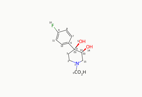 O=C(O)N1CC[C@](O)(c2ccc(F)cc2)[C@@H](O)C1